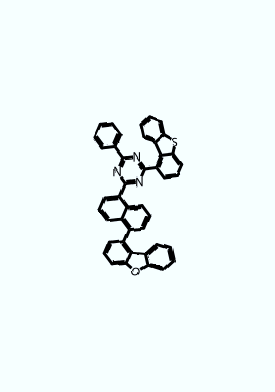 c1ccc(-c2nc(-c3cccc4c(-c5cccc6oc7ccccc7c56)cccc34)nc(-c3cccc4sc5ccccc5c34)n2)cc1